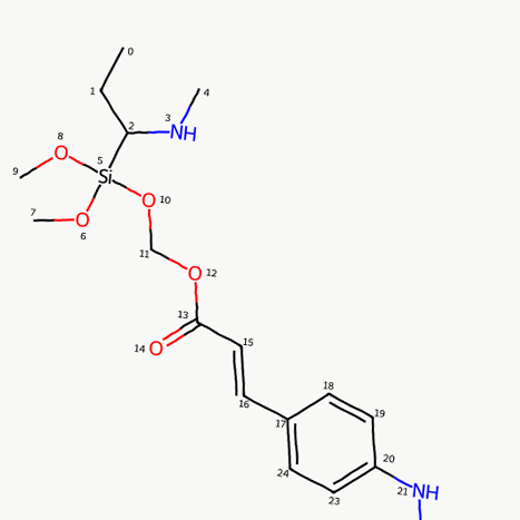 CCC(NC)[Si](OC)(OC)OCOC(=O)C=Cc1ccc(NC)cc1